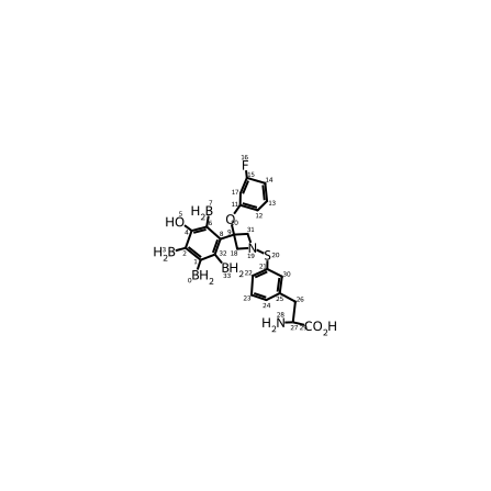 Bc1c(B)c(O)c(B)c(C2(Oc3cccc(F)c3)CN(Sc3cccc(CC(N)C(=O)O)c3)C2)c1B